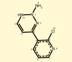 NN1N=C(c2cccnc2Cl)C=CN1